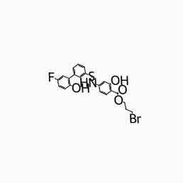 O=C(OCCCBr)c1ccc(NSc2cccc(-c3cc(F)ccc3O)c2)cc1O